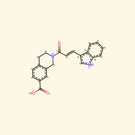 O=C(O)c1ccc2c(c1)CN(C(=O)C=Cc1c[nH]c3ccccc13)CC2